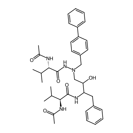 CC(=O)N[C@H](C(=O)NC(Cc1ccccc1)C(O)CN(Cc1ccc(-c2ccccc2)cc1)NC(=O)[C@@H](NC(C)=O)C(C)C)C(C)C